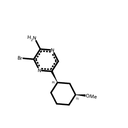 CO[C@H]1CCC[C@@H](c2cnc(N)c(Br)n2)C1